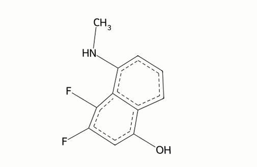 CNc1cccc2c(O)cc(F)c(F)c12